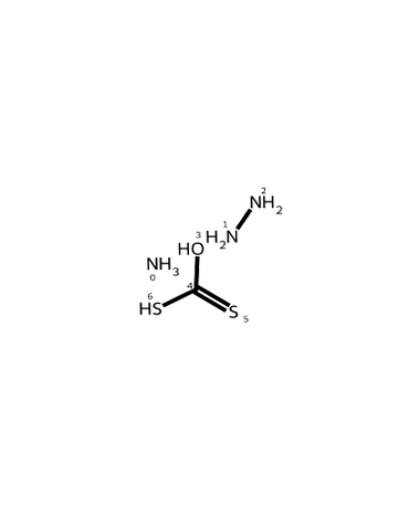 N.NN.OC(=S)S